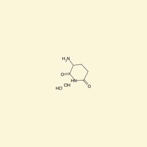 Cl.Cl.NC1CCC(=O)NC1=O